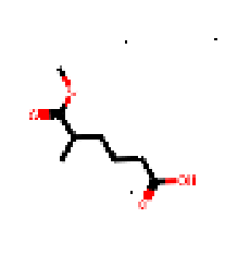 COC(=O)C(C)CCCC(=O)O